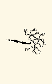 CCCCC#CC#CC[Si](O[Si](OCC)(OCC)OCC)(O[Si](OCC)(OCC)OCC)O[Si](OCC)(OCC)OCC